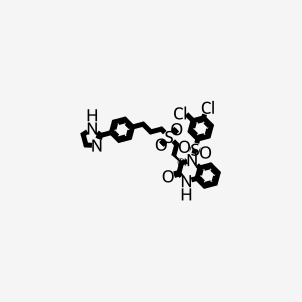 O=C1Nc2ccccc2N(S(=O)(=O)c2ccc(Cl)c(Cl)c2)[C@@H]1CCS(=O)(=O)CCCc1ccc(C2=NCCN2)cc1